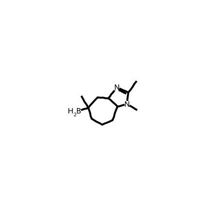 BC1(C)CCCC2C(C1)N=C(C)N2C